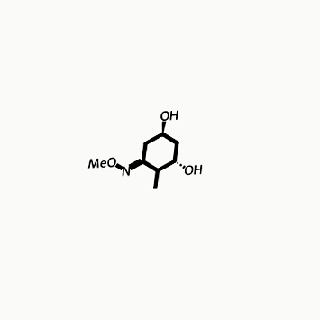 CO/N=C1\C[C@@H](O)C[C@H](O)C1C